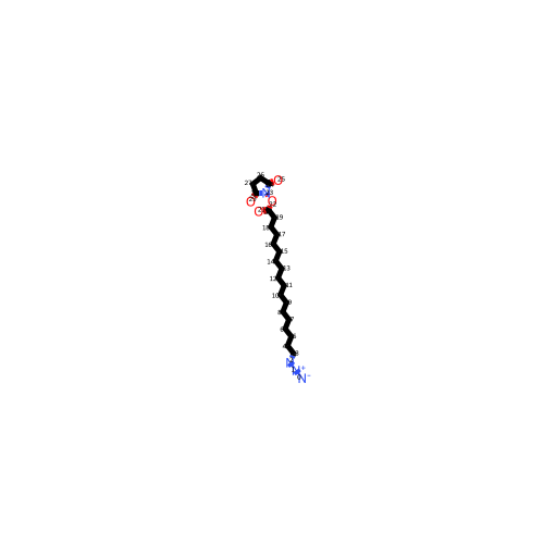 [N-]=[N+]=NCCCCCCCCCCCCCCCCCC(=O)ON1C(=O)CCC1=O